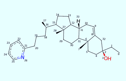 CC[C@]1(O)CC[C@@]2(C)C(=CC[C@H]3C4CCC([C@H](C)CCCc5ccccn5)[C@@]4(C)CCC32)C1